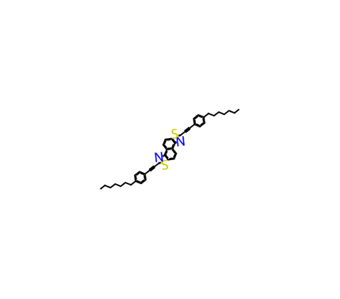 CCCCCCCc1ccc(C#Cc2nc3c(ccc4c3ccc3sc(C#Cc5ccc(CCCCCCC)cc5)nc34)s2)cc1